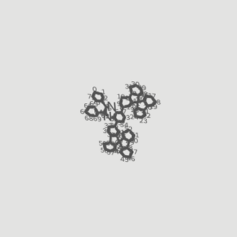 c1ccc(-c2nc3c(-c4ccc5c(c4)C4(c6ccccc6-c6ccccc64)c4ccccc4-5)ccc(-c4ccc5c(c4)C4(c6ccccc6-c6ccccc64)c4ccccc4-5)c3nc2-c2ccccc2)cc1